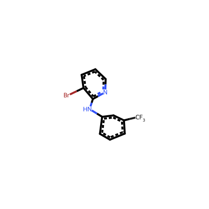 FC(F)(F)c1cccc(Nc2ncccc2Br)c1